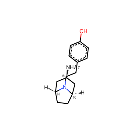 CC(=O)N[C@H]1C[C@H]2CC[C@@H](C1)N2CCc1ccc(O)cc1